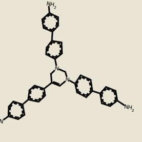 Nc1ccc(-c2ccc(C3=CN(c4ccc(-c5ccc(N)cc5)cc4)CN(c4ccc(-c5ccc(N)cc5)cc4)C3)cc2)cc1